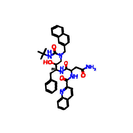 CC(C)(C)NC(=O)N(Cc1ccc2ccccc2c1)CC(O)[C@H](Cc1ccccc1)NC(=O)C(CC(N)=O)NC(=O)c1ccc2ccccc2n1